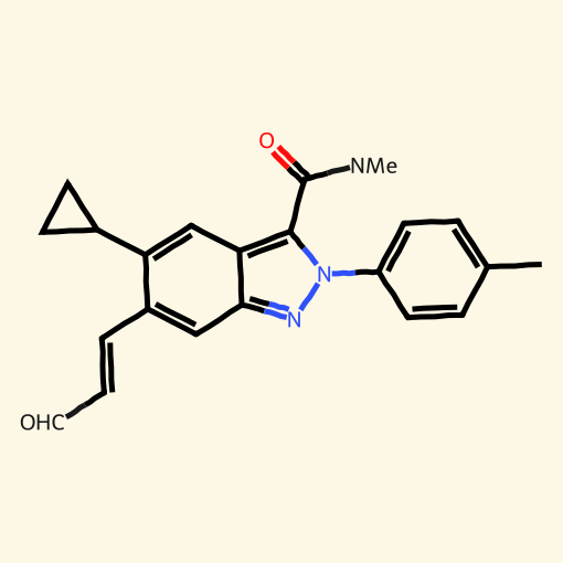 CNC(=O)c1c2cc(C3CC3)c(C=CC=O)cc2nn1-c1ccc(C)cc1